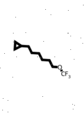 FC(F)(F)OCCCCCCC1[CH]C1